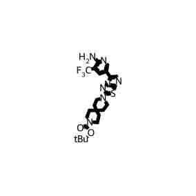 CC(C)(C)OC(=O)N1CCC2(CC1)CCN(c1nn3c(-c4cnc(N)c(C(F)(F)F)c4)cnc3s1)CC2